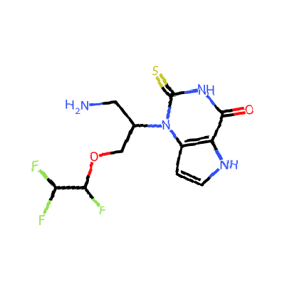 NCC(COC(F)C(F)F)n1c(=S)[nH]c(=O)c2[nH]ccc21